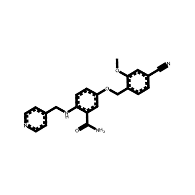 COc1cc(C#N)ccc1COc1ccc(NCc2ccncc2)c(C(N)=O)c1